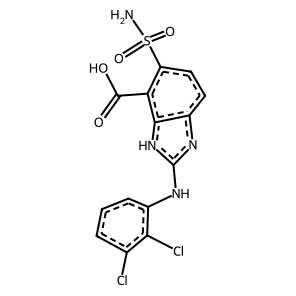 NS(=O)(=O)c1ccc2nc(Nc3cccc(Cl)c3Cl)[nH]c2c1C(=O)O